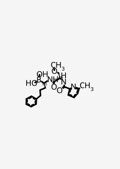 COC[C@@H](NC(=O)c1cccc(C)n1)C(=O)N[C@@H](CCCc1ccccc1)B(O)O